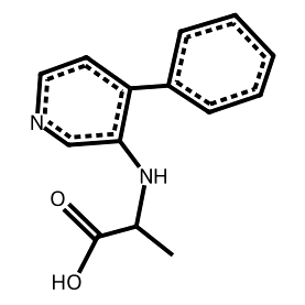 CC(Nc1cnccc1-c1ccccc1)C(=O)O